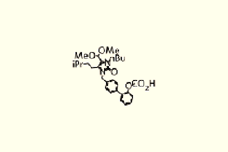 CCCCn1c(C(OC)OC)c(CCC(C)C)n(Cc2ccc(-c3ccccc3OC(=O)O)cc2)c1=O